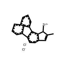 CC1=Cc2ccc3c(c2[CH]1[Zr+2])-c1cccc2cccc-3c12.[Cl-].[Cl-]